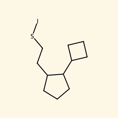 ISCCC1CCCC1C1CCC1